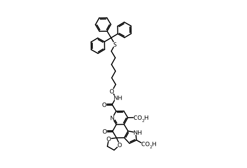 O=C(NOCCCCCCSC(c1ccccc1)(c1ccccc1)c1ccccc1)c1cc(C(=O)O)c2c(n1)C(=O)C1(OCCO1)c1cc(C(=O)O)[nH]c1-2